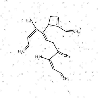 C=C/C=C(/N)C(=C)C/C=C(/C(N)=C\C=C)C1CC=C1C=C